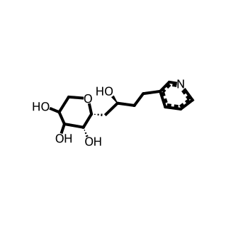 OC1CO[C@H](C[C@@H](O)CCc2cccnc2)[C@H](O)C1O